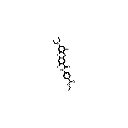 CCOC(=O)c1ccc(NC(=O)c2cc3nc4c(C)cc(N(CC)CC)cc4oc-3cc2=O)cc1